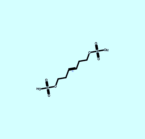 O=S(=O)(O)OCC/C=C/CCOS(=O)(=O)O